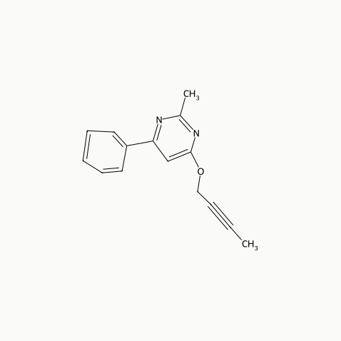 CC#CCOc1cc(-c2ccccc2)nc(C)n1